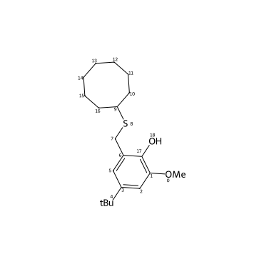 COc1cc(C(C)(C)C)cc(CSC2CCCCCCC2)c1O